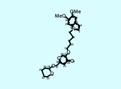 COc1cc2ccn(CCCCCOc3coc(COC4CCCCO4)cc3=O)c2cc1OC